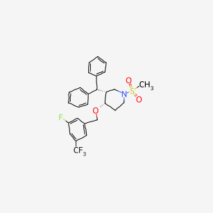 CS(=O)(=O)N1CC[C@H](OCc2cc(F)cc(C(F)(F)F)c2)[C@H](C(c2ccccc2)c2ccccc2)C1